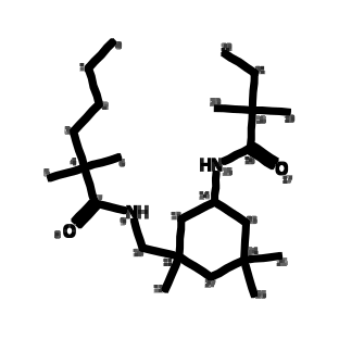 CCCCC(C)(C)C(=O)NCC1(C)CC(NC(=O)C(C)(C)CC)CC(C)(C)C1